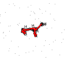 Cc1ncsc1-c1ccc(CNC(=O)[C@@H]2C[C@@H](OC(=O)CCCCCCCCCOP(=O)(O)O)CN2C(=O)[C@@H](NC(=O)COCCOCCOCCNC(=O)C[C@@H]2N=C(c3ccc(Cl)cc3)c3c(sc(C)c3C)-n3c(C)nnc32)C(C)(C)C)cc1